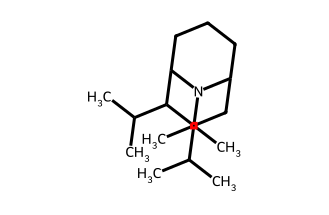 CC(C)C1CC2CCCC(C1C(C)C)N2C(C)C